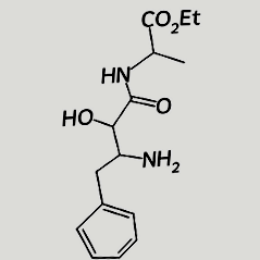 CCOC(=O)C(C)NC(=O)C(O)C(N)Cc1ccccc1